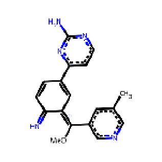 CO/C(=C1/C=C(c2ccnc(N)n2)C=CC1=N)c1cncc(C)c1